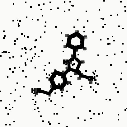 NCc1ccc(C2NN(c3ccccc3)CC2=NO)cc1